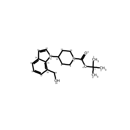 CC(C)(C)OC(=O)N1CCC(n2ccc3cccc(CO)c32)CC1